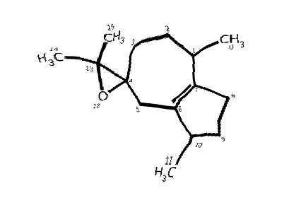 CC1CCC2(CC3=C1CCC3C)OC2(C)C